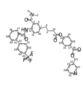 CN(C)C(=O)c1cc(CCCC(=O)Oc2ccc(C(=O)OCc3cccnc3)cc2)ccc1NC(=O)c1ccccc1-c1ccc(C(F)(F)F)cc1